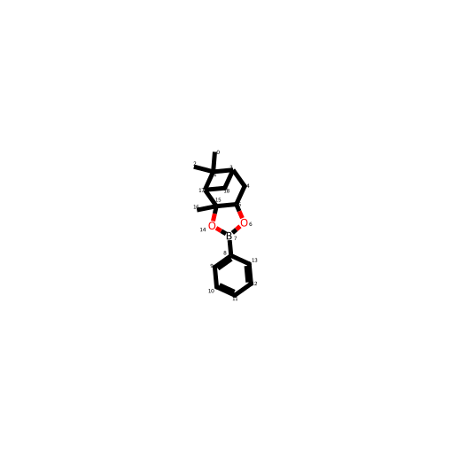 CC1(C)C2CC3OB(c4ccccc4)OC3(C)C1C2